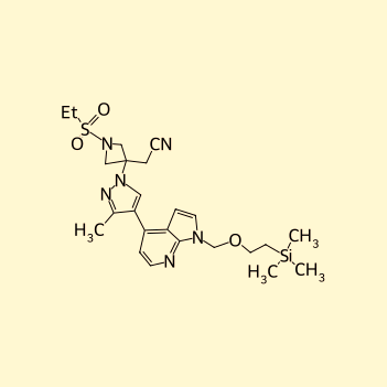 CCS(=O)(=O)N1CC(CC#N)(n2cc(-c3ccnc4c3ccn4COCC[Si](C)(C)C)c(C)n2)C1